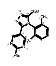 Cc1cccc(C)c1-n1c(-c2cnc(C(C)(C)C)nc2)nnc1C(C)(C)C